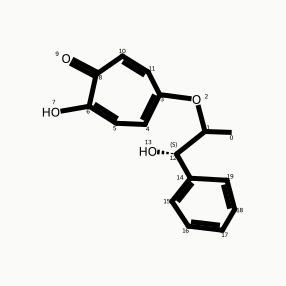 CC(Oc1ccc(O)c(=O)cc1)[C@@H](O)c1ccccc1